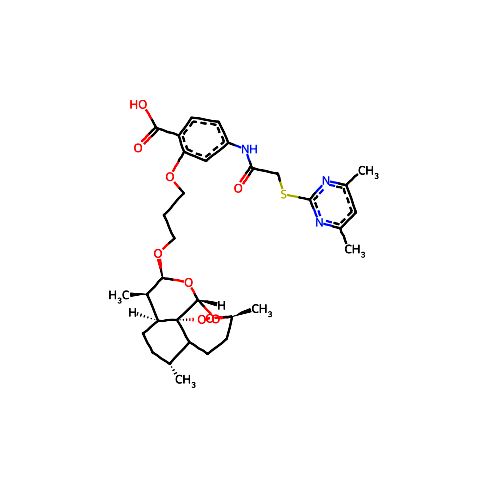 Cc1cc(C)nc(SCC(=O)Nc2ccc(C(=O)O)c(OCCCO[C@H]3O[C@@H]4O[C@@]5(C)CCC6[C@H](C)CC[C@@H]([C@H]3C)[C@]64OO5)c2)n1